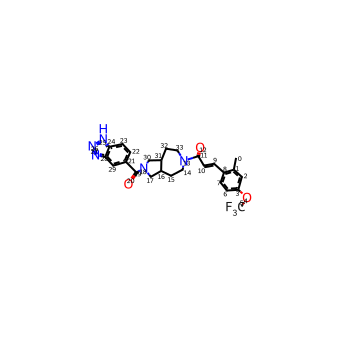 Cc1cc(OC(F)(F)F)ccc1/C=C/C(=O)N1CCC2CN(C(=O)c3ccc4[nH]nnc4c3)CC2CC1